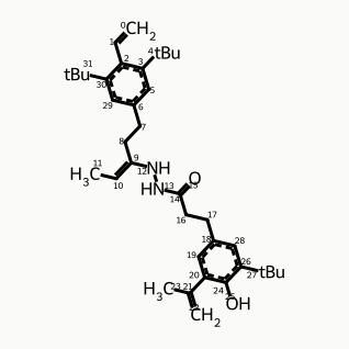 C=Cc1c(C(C)(C)C)cc(CC/C(=C\C)NNC(=O)CCc2cc(C(=C)C)c(O)c(C(C)(C)C)c2)cc1C(C)(C)C